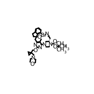 CC(C)(C)OC(=O)N1CCN(c2nc(OCC3(CN4CCOCC4)CC3)nc3c2COC2(CCc4cccc(Br)c42)C3)C[C@@H]1CC#N